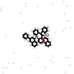 O=P1(c2ccc3ccccc3c2)C2=C(c3ccccc3N(c3cc(-c4ccccc4)cc4ccccc34)c3ccccc32)c2ccccc21